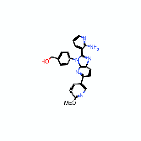 COc1ccc(-c2ccc3nc(-c4cccnc4N)n(-c4ccc(CO)cc4)c3n2)cn1